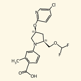 Cc1cc(N2C[C@@H](Oc3ccc(Cl)cn3)C[C@H]2COC(F)F)ccc1C(=O)O